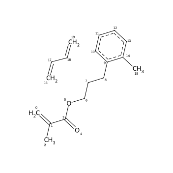 C=C(C)C(=O)OCCCc1ccccc1C.C=CC=C